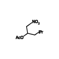 CC(=O)OC(CC(C)C)C[N+](=O)[O-]